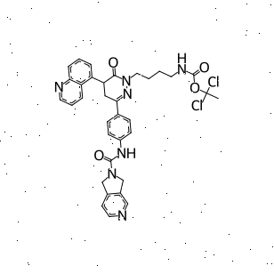 CC(Cl)(Cl)OC(=O)NCCCCN1N=C(c2ccc(NC(=O)N3Cc4ccncc4C3)cc2)CC(c2cccc3ncccc23)C1=O